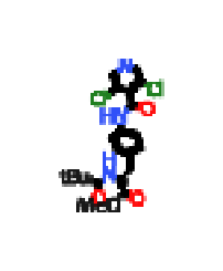 COC(=O)[C@H](Cc1ccc(NC(=O)c2c(Cl)cncc2Cl)cc1)NC(=O)C(C)(C)C